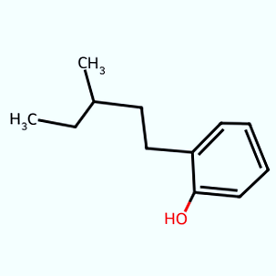 CCC(C)CCc1ccccc1O